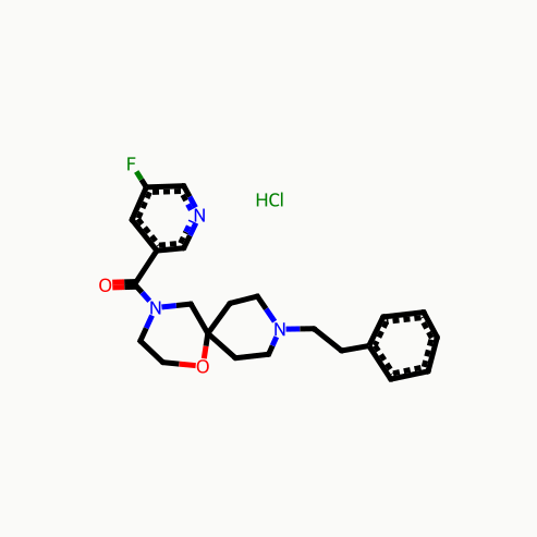 Cl.O=C(c1cncc(F)c1)N1CCOC2(CCN(CCc3ccccc3)CC2)C1